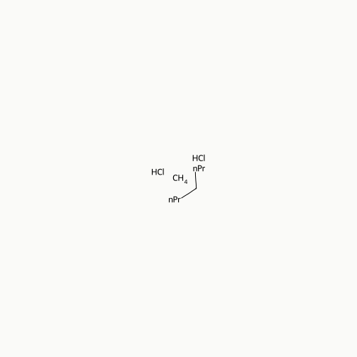 C.CCCCCCC.Cl.Cl